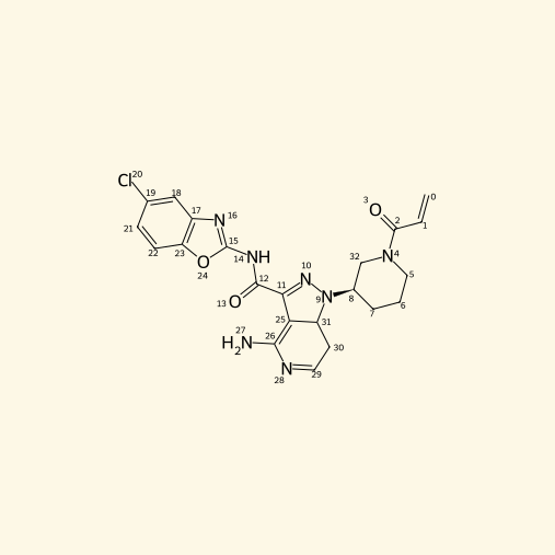 C=CC(=O)N1CCC[C@@H](N2N=C(C(=O)Nc3nc4cc(Cl)ccc4o3)C3=C(N)N=CCC32)C1